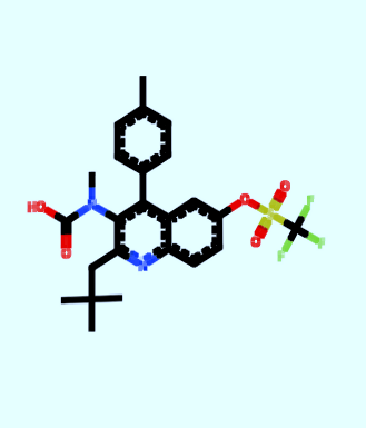 Cc1ccc(-c2c(N(C)C(=O)O)c(CC(C)(C)C)nc3ccc(OS(=O)(=O)C(F)(F)F)cc23)cc1